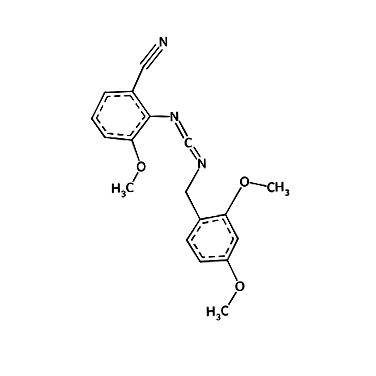 COc1ccc(CN=C=Nc2c(C#N)cccc2OC)c(OC)c1